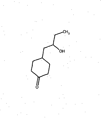 CCC(O)CC1CCC(=O)CC1